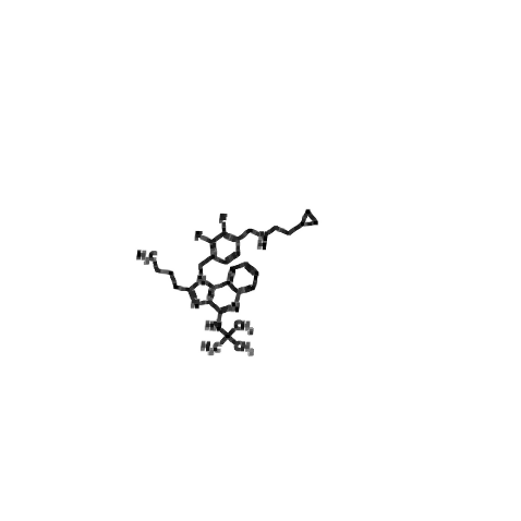 CCCCc1nc2c(NC(C)(C)C)nc3ccccc3c2n1Cc1ccc(CNCCC2CC2)c(F)c1F